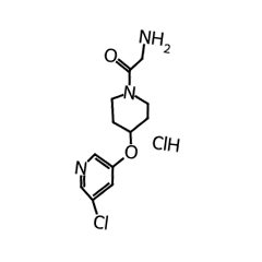 Cl.NCC(=O)N1CCC(Oc2cncc(Cl)c2)CC1